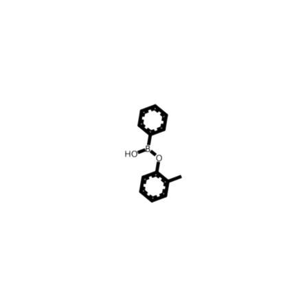 Cc1ccccc1OB(O)c1ccccc1